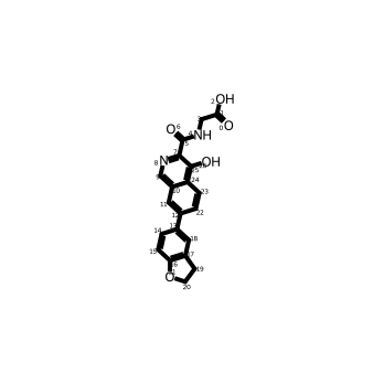 O=C(O)CNC(=O)c1ncc2cc(-c3ccc4c(c3)CCO4)ccc2c1O